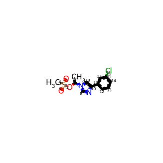 CC(OS(C)(=O)=O)n1cnc(-c2cccc(Cl)c2)c1